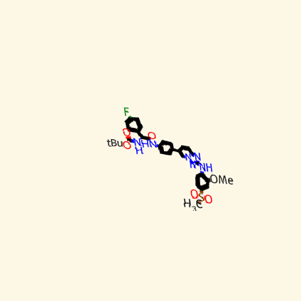 COc1cc(S(C)(=O)=O)ccc1Nc1nc2ccc(-c3ccc(NC(=O)[C@H](NC(=O)OC(C)(C)C)c4ccc(F)cc4)cc3)cn2n1